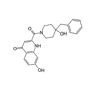 O=C(c1cc(=O)c2ccc(O)cc2[nH]1)N1CCC(O)(Cc2ccccc2)CC1